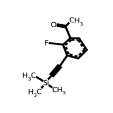 CC(=O)c1cccc(C#C[Si](C)(C)C)c1F